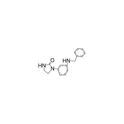 O=C1NCCN1c1cccc(NCc2ccccc2)c1